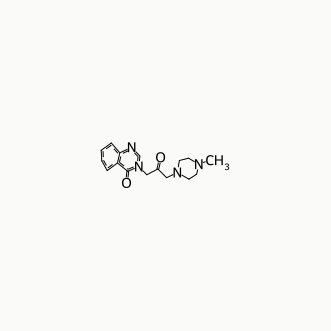 CN1CCN(CC(=O)Cn2cnc3ccccc3c2=O)CC1